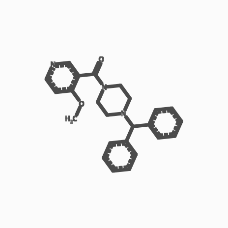 COc1ccncc1C(=O)N1CCN(C(c2ccccc2)c2ccccc2)CC1